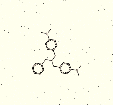 CN(C)c1ccc(CN(Cc2ccccc2)Cc2ccc(N(C)C)cc2)cc1